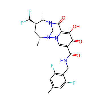 Cc1cc(F)c(CNC(=O)c2cn3c(c(O)c2=O)C(=O)N2CN3[C@H](C)C[C@@H](C(F)F)[C@@H]2C)c(F)c1